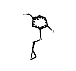 CC(=O)c1ccc(Cl)c(OCC2CC2)c1